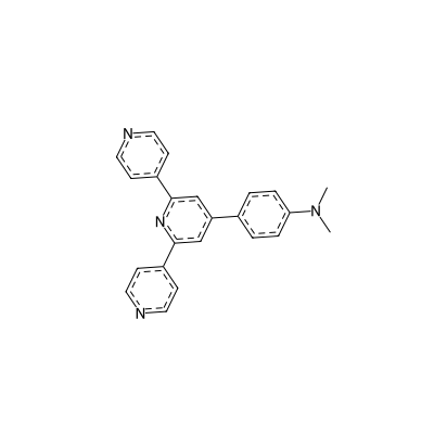 CN(C)c1ccc(-c2cc(-c3ccncc3)nc(-c3ccncc3)c2)cc1